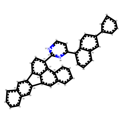 c1ccc(-c2ccc3c(-c4ccnc(-c5ccc6c7c(cc8ccccc8c57)-c5cc7ccccc7cc5-6)n4)cccc3c2)cc1